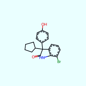 O=C1Nc2c(Br)cccc2C1(c1ccc(O)cc1)C1CCCC1